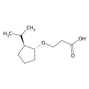 CC(C)[C@@H]1CCC[C@H]1OCCC(=O)O